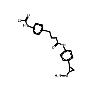 CCC(=O)Nc1ccc(CCCC(=O)Nc2ccc(C3CC3NN)cc2)cc1